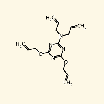 C=CCOc1nc(OCC=C)nc(N(CC=C)CC=C)n1